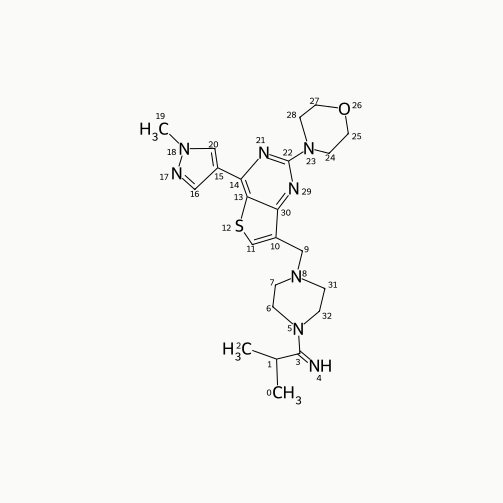 CC(C)C(=N)N1CCN(Cc2csc3c(-c4cnn(C)c4)nc(N4CCOCC4)nc23)CC1